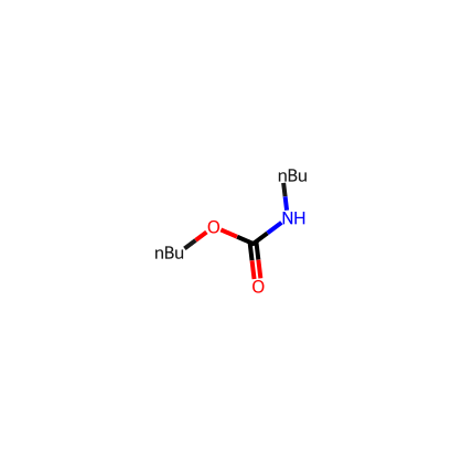 [CH2]CCCNC(=O)OCCCC